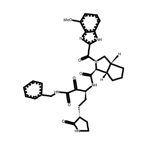 COc1cccc2[nH]c(C(=O)N3C[C@@H]4CCC[C@@H]4[C@H]3C(=O)N[C@@H](CC[C@@H]3CCNC3=O)C(=O)C(=O)NCc3ccccc3)nc12